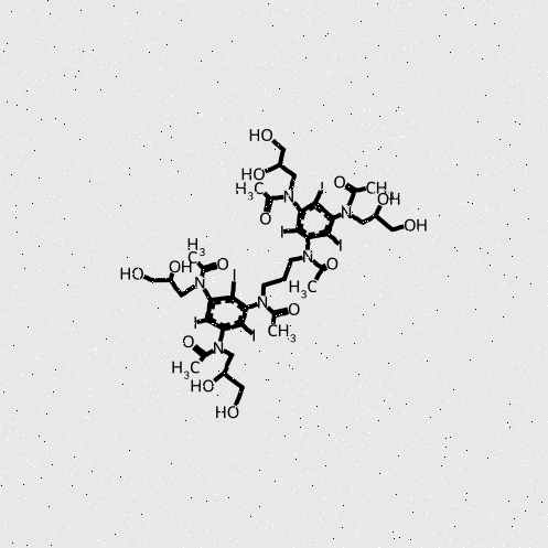 CC(=O)N(CCCN(C(C)=O)c1c(I)c(N(CC(O)CO)C(C)=O)c(I)c(N(CC(O)CO)C(C)=O)c1I)c1c(I)c(N(CC(O)CO)C(C)=O)c(I)c(N(CC(O)CO)C(C)=O)c1I